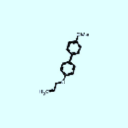 C=CCOc1ccc(-c2ccc(OC)cc2)cc1